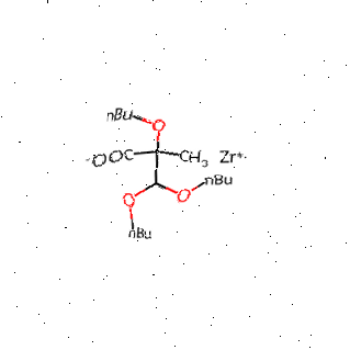 CCCCOC(OCCCC)C(C)(OCCCC)C(=O)[O-].[Zr+]